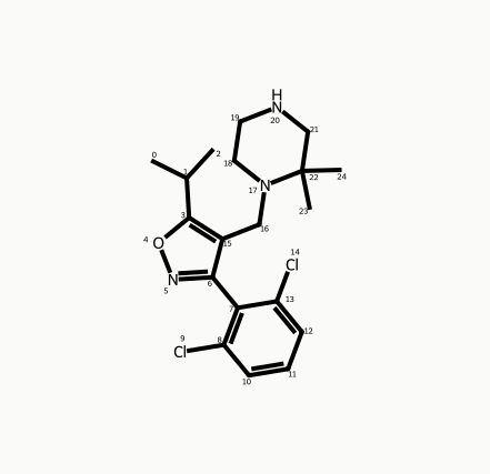 CC(C)c1onc(-c2c(Cl)cccc2Cl)c1CN1CCNCC1(C)C